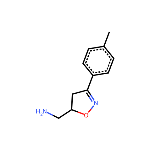 Cc1ccc(C2=NOC(CN)C2)cc1